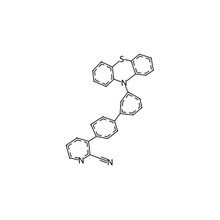 N#Cc1ncccc1-c1ccc(-c2cccc(N3c4ccccc4Sc4ccccc43)c2)cc1